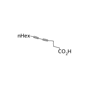 CCCCCCC#CC#CCCCC(=O)O